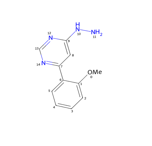 COc1ccccc1-c1cc(NN)ncn1